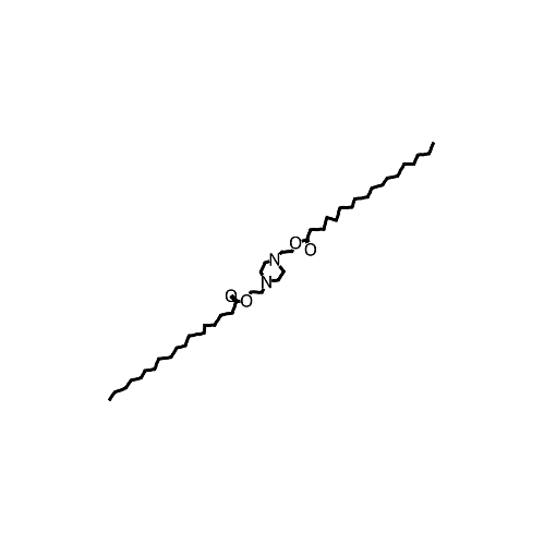 CCCCCCCCCCCCCCCCCC(=O)OCCN1CCN(CCOC(=O)CCCCCCCCCCCCCCCCC)CC1